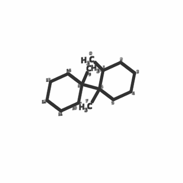 C[C]1CCCCC1(C)C1(C)[CH]CCCC1